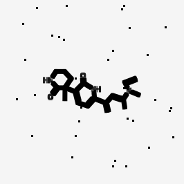 C=CN(C)/C(C)=C/C(=C)c1ccc(C2(C)CCCNC2=O)c(=O)[nH]1